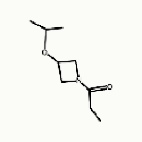 CCC(=O)N1CC(OC(C)C)C1